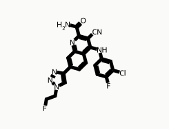 N#Cc1c(C(N)=O)nc2cc(-c3cn(CCF)nn3)[c]cc2c1Nc1ccc(F)c(Cl)c1